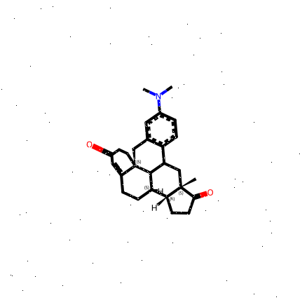 CN(C)c1ccc2c(c1)C[C@]13CCC(=O)C=C1CC[C@@H]1C3C2C[C@]2(C)C(=O)CC[C@H]12